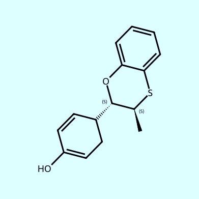 C[C@@H]1Sc2ccccc2O[C@H]1C1C=CC(O)=CC1